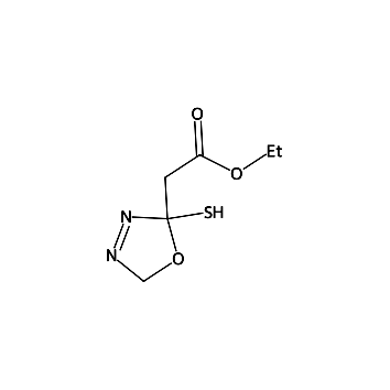 CCOC(=O)CC1(S)N=NCO1